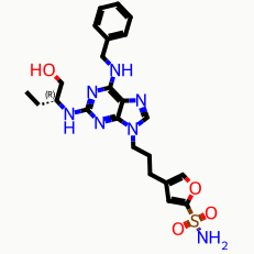 CC[C@H](CO)Nc1nc(NCc2ccccc2)c2ncn(CCCc3coc(S(N)(=O)=O)c3)c2n1